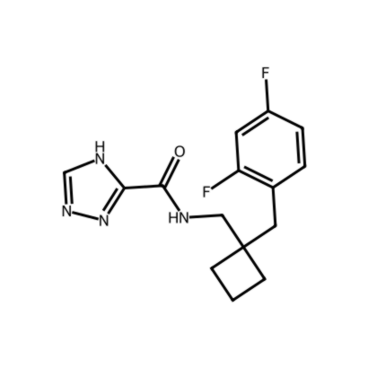 O=C(NCC1(Cc2ccc(F)cc2F)CCC1)c1nnc[nH]1